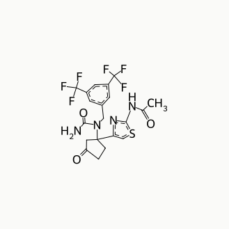 CC(=O)Nc1nc(C2(N(Cc3cc(C(F)(F)F)cc(C(F)(F)F)c3)C(N)=O)CCC(=O)C2)cs1